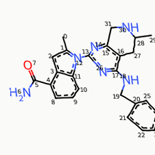 Cc1cc2c(C(N)=O)cccc2n1-c1nc2c(c(NCc3ccccc3)n1)CC(C)NC2